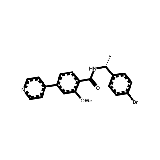 COc1cc(-c2ccncc2)ccc1C(=O)N[C@H](C)c1ccc(Br)cc1